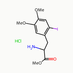 COC(=O)C(N)Cc1cc(OC)c(OC)cc1I.Cl